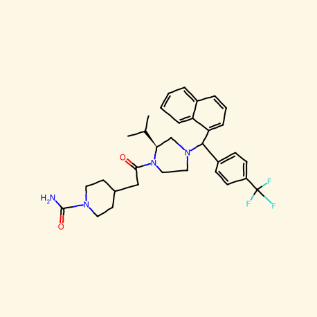 CC(C)[C@H]1CN(C(c2ccc(C(F)(F)F)cc2)c2cccc3ccccc23)CCN1C(=O)CC1CCN(C(N)=O)CC1